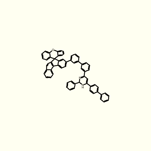 C1=C(c2ccc(-c3ccccc3)cc2)NC(c2ccccc2)N=C1c1cccc(-c2cccc(-c3ccc4c(c3)C3(c5ccccc5Oc5ccccc53)c3ccc5ccccc5c3-4)c2)c1